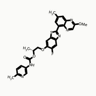 COc1cnc2c(-c3nc4cc(F)c(OC[C@@H](C)OC(=O)Nc5ccc(C)nc5)cc4s3)cc(C)cc2n1